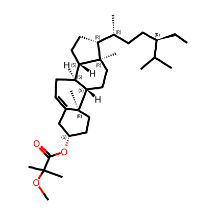 CC[C@H](CC[C@@H](C)[C@H]1CC[C@H]2[C@@H]3CC=C4C[C@@H](OC(=O)C(C)(C)OC)CC[C@]4(C)[C@H]3CC[C@]12C)C(C)C